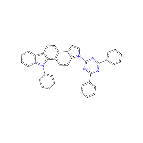 c1ccc(-c2nc(-c3ccccc3)nc(-n3ccc4c5ccc6c7ccccc7n(-c7ccccc7)c6c5ccc43)n2)cc1